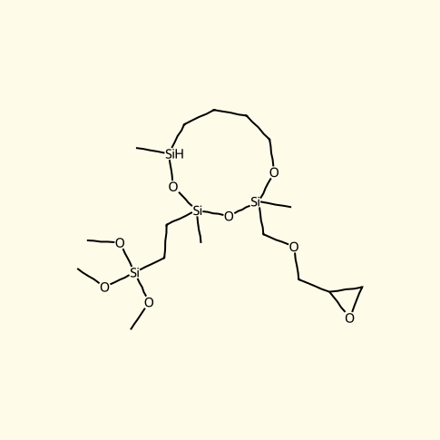 CO[Si](CC[Si]1(C)O[SiH](C)CCCCO[Si](C)(COCC2CO2)O1)(OC)OC